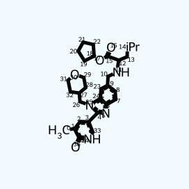 Cc1cc(-c2nc3ccc(CNC(CC(C)C)C(=O)OC4CCCC4)cc3n2CC2CCOCC2)c[nH]c1=O